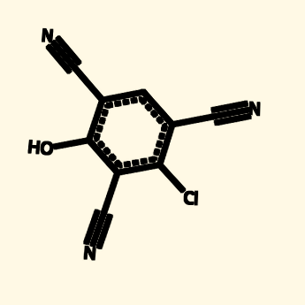 N#Cc1cc(C#N)c(Cl)c(C#N)c1O